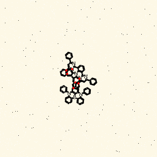 c1ccc(-c2cc(-c3ccccc3)nc(-c3cccc(-c4nc(-c5ccccc5)cc(-c5ccccc5)n4)c3-n3c4ccccc4c4cc(-c5cc6c7c(c5)N(c5ccccc5)c5ccccc5B7c5ccccc5N6c5ccccc5)ccc43)n2)cc1